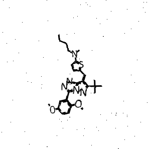 CCCCN(C)c1ccc(/C=c2/c(C(C)(C)C)nn3c(-c4cc(OC)ccc4OC)nnc23)s1